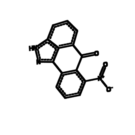 O=C1c2c(cccc2[N+](=O)[O-])-c2n[nH]c3cccc1c23